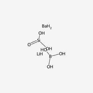 O=[Si](O)O.OB(O)O.[BaH2].[LiH]